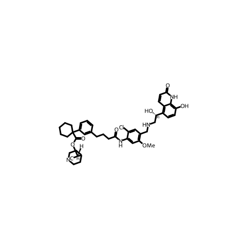 COc1cc(NC(=O)CCCc2cccc(C3(C(=O)O[C@H]4CN5CCC4CC5)CCCCC3)c2)c(Cl)cc1CNC[C@H](O)c1ccc(O)c2[nH]c(=O)ccc12